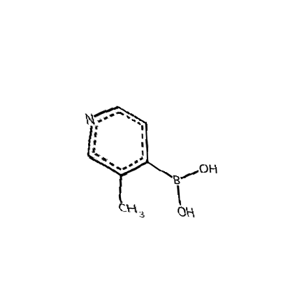 Cc1cnccc1B(O)O